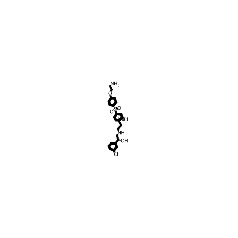 Cl.Cl.NCCOc1ccc(S(=O)(=O)c2ccc(CCNC[C@H](O)c3cccc(Cl)c3)cc2)cc1